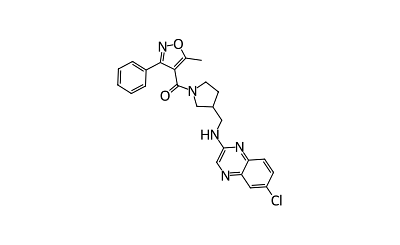 Cc1onc(-c2ccccc2)c1C(=O)N1CCC(CNc2cnc3cc(Cl)ccc3n2)C1